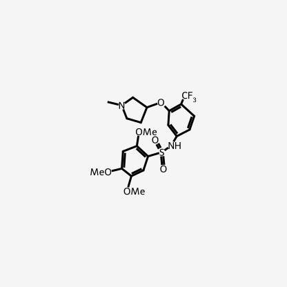 COc1cc(OC)c(S(=O)(=O)Nc2ccc(C(F)(F)F)c(OC3CCN(C)C3)c2)cc1OC